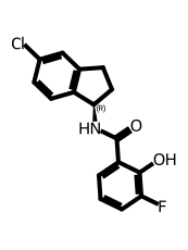 O=C(N[C@@H]1CCc2cc(Cl)ccc21)c1cccc(F)c1O